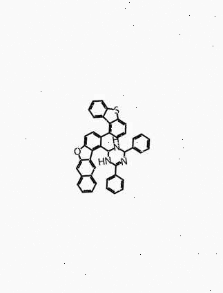 c1ccc(C2=NC(c3ccccc3)NC(c3c(-c4cccc5sc6ccccc6c45)ccc4oc5cc6ccccc6cc5c34)N2)cc1